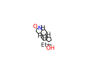 CCC(C)(O)[C@H]1CC[C@H]2[C@@H]3[C@@H](C)C[C@H]4N(C)C(=O)CC[C@]4(C)[C@H]3CC[C@]12C